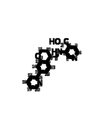 O=C(O)c1ccncc1NC[C@H]1CCOc2cc(-c3ccccn3)ccc21